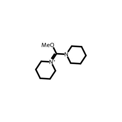 COC(N1CCCCC1)=[N+]1CCCCC1